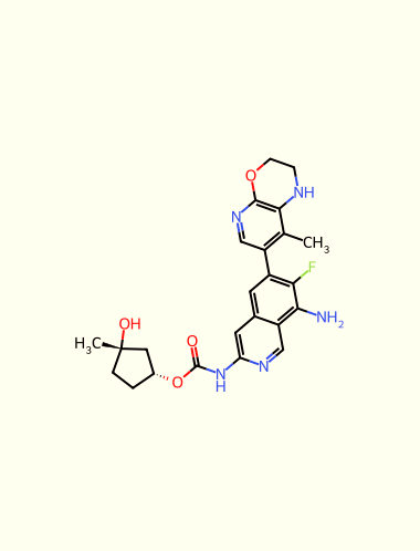 Cc1c(-c2cc3cc(NC(=O)O[C@@H]4CC[C@](C)(O)C4)ncc3c(N)c2F)cnc2c1NCCO2